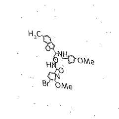 COc1ccc(CNC(CONC(=O)c2ccc(Br)c(OC)n2)c2cc3ccc(C)cc3o2)cc1